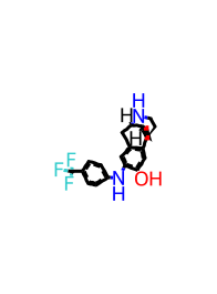 Oc1cc2c(cc1Nc1ccc(C(F)(F)F)cc1)C[C@H]1NCC[C@@]23CCCC[C@@H]13